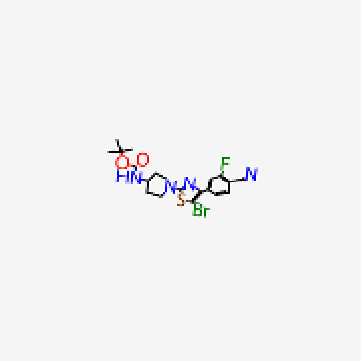 CC(C)(C)OC(=O)NC1CCN(c2nc(-c3ccc(C#N)c(F)c3)c(Br)s2)CC1